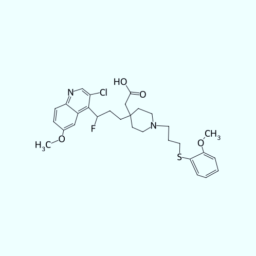 COc1ccc2ncc(Cl)c(C(F)CCC3(CC(=O)O)CCN(CCCSc4ccccc4OC)CC3)c2c1